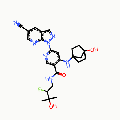 CC(C)(O)C(F)CNC(=O)c1cnc(-n2ncc3cc(C#N)cnc32)cc1NC12CCC(O)(CC1)C2